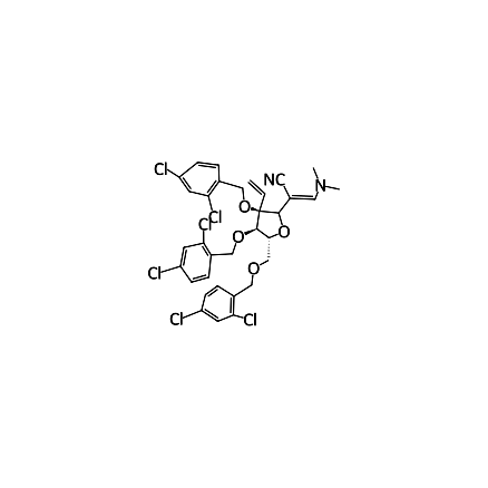 C=C[C@]1(OCc2ccc(Cl)cc2Cl)C(/C(C#N)=C/N(C)C)O[C@H](COCc2ccc(Cl)cc2Cl)[C@H]1OCc1ccc(Cl)cc1Cl